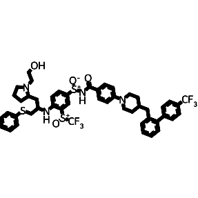 O=C(N[S+]([O-])c1ccc(NC(CSc2ccccc2)CC2CCCN2CCO)c([S+]([O-])C(F)(F)F)c1)c1ccc(N2CCC(Cc3ccccc3-c3ccc(C(F)(F)F)cc3)CC2)cc1